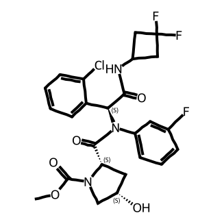 COC(=O)N1C[C@@H](O)C[C@H]1C(=O)N(c1cccc(F)c1)[C@H](C(=O)NC1CC(F)(F)C1)c1ccccc1Cl